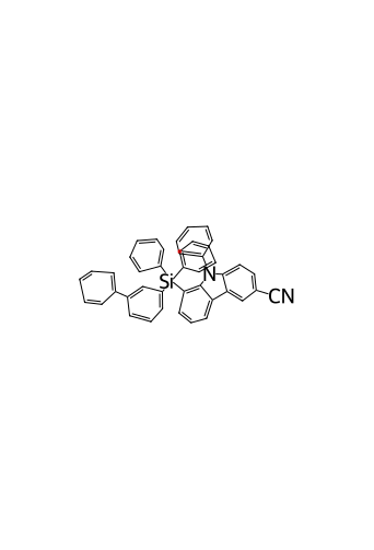 N#Cc1ccc2c(c1)c1cccc([Si](c3ccccc3)(c3ccccc3)c3cccc(-c4ccccc4)c3)c1n2-c1ccccc1